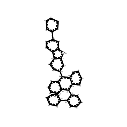 c1ccc(-c2ccc3c(c2)oc2cc(-c4c5ccccc5c(-c5ccccc5-c5ccccc5)c5ccccc45)ccc23)cc1